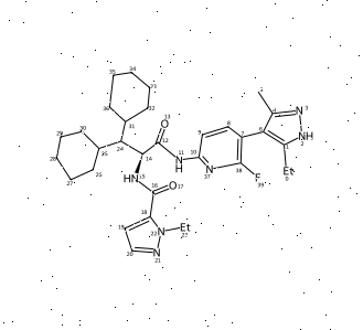 CCc1[nH]nc(C)c1-c1ccc(NC(=O)[C@@H](NC(=O)c2ccnn2CC)C(C2CCCCC2)C2CCCCC2)nc1F